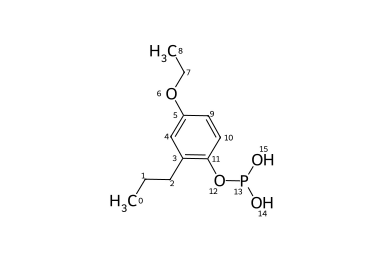 CCCc1cc(OCC)ccc1OP(O)O